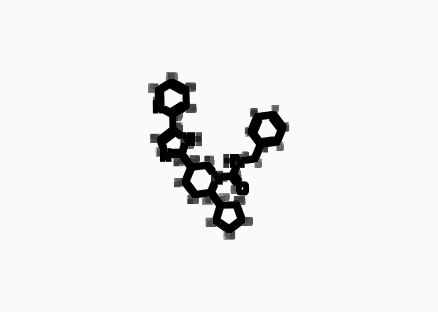 O=C(NCc1ccccc1)N1CC(c2ncc(-c3ccccn3)[nH]2)CCC1C1CCCC1